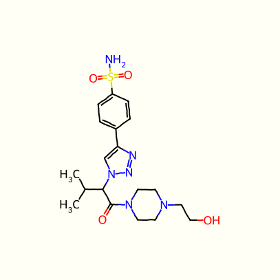 CC(C)C(C(=O)N1CCN(CCO)CC1)n1cc(-c2ccc(S(N)(=O)=O)cc2)nn1